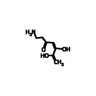 C=C(O)/C(O)=C\C(=O)CCN